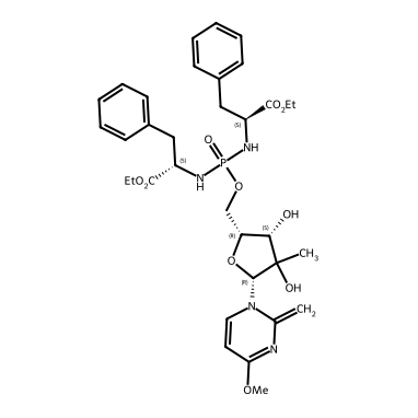 C=C1N=C(OC)C=CN1[C@@H]1O[C@H](COP(=O)(N[C@@H](Cc2ccccc2)C(=O)OCC)N[C@@H](Cc2ccccc2)C(=O)OCC)[C@H](O)C1(C)O